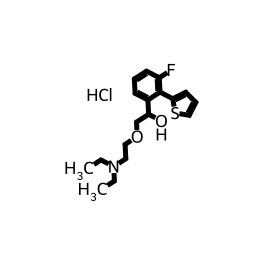 CCN(CC)CCOCC(O)c1cccc(F)c1-c1cccs1.Cl